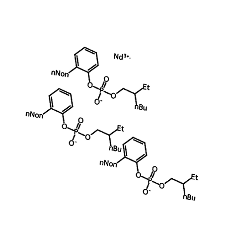 CCCCCCCCCc1ccccc1OP(=O)([O-])OCC(CC)CCCC.CCCCCCCCCc1ccccc1OP(=O)([O-])OCC(CC)CCCC.CCCCCCCCCc1ccccc1OP(=O)([O-])OCC(CC)CCCC.[Nd+3]